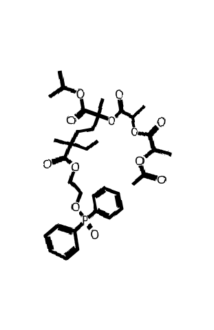 CCC(C)(CCC(C)(OC(=O)C(C)OC(=O)C(C)OC(C)=O)C(=O)OC(C)C)C(=O)OCCOP(=O)(c1ccccc1)c1ccccc1